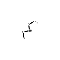 CCOBON